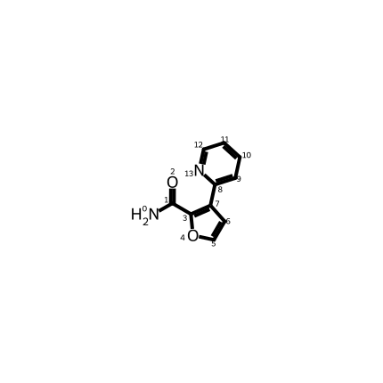 NC(=O)c1occc1-c1ccccn1